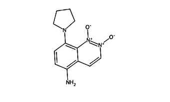 Nc1ccc(N2CCCC2)c2c1cc[n+]([O-])[n+]2[O-]